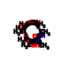 COC1/C=C/O[C@@]2(C)Oc3c(C)c(O)c4c(O)c(c5c(c4c3C2=O)NC2C=C(C)C=CN52)NC(=O)/C(C)=C\C=C\C(C)C(O)C(C)C(O)C(C)C(O)C1C